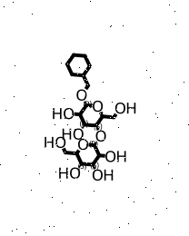 OCC1O[C@H](O[C@@H]2C(CO)O[C@@H](OCC3CCCCC3)C(O)[C@H]2O)C(O)[C@@H](O)[C@@H]1O